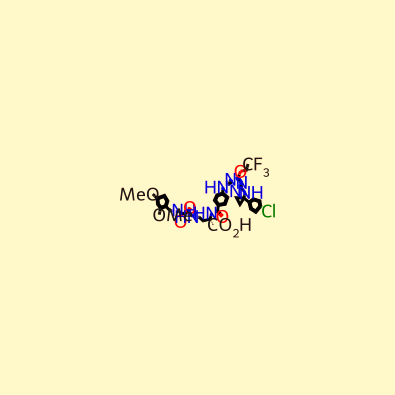 COc1ccc(CNC(=O)C(=O)NCC[C@H](NC(=O)c2ccc(Nc3nc(NC4(c5ccc(Cl)cc5)CC4)nc(OCC(F)(F)F)n3)cc2)C(=O)O)c(OC)c1